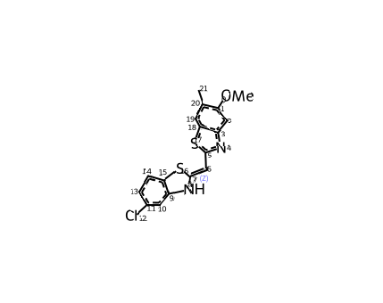 COc1cc2nc(/C=C3/Nc4cc(Cl)ccc4S3)sc2cc1C